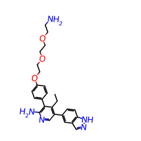 CCc1c(-c2ccc3[nH]ncc3c2)cnc(N)c1-c1ccc(OCCOCCOCCN)cc1